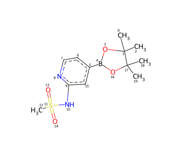 CC1(C)OB(c2ccnc(NS(C)(=O)=O)c2)OC1(C)C